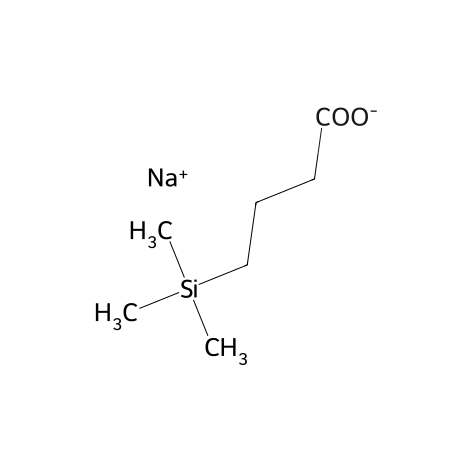 C[Si](C)(C)CCCC(=O)[O-].[Na+]